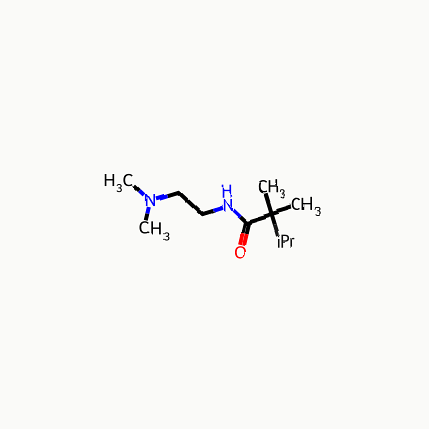 CC(C)C(C)(C)C(=O)NCCN(C)C